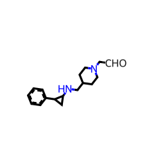 O=CCN1CCC(CNC2CC2c2ccccc2)CC1